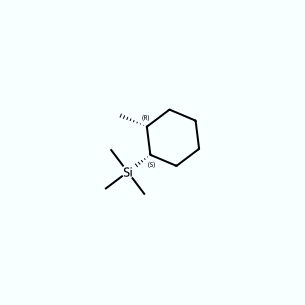 C[C@@H]1CCCC[C@@H]1[Si](C)(C)C